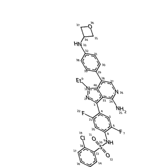 CCn1nc(-c2cc(F)c(NS(=O)(=O)c3ccccc3Cl)cc2F)c2c(N)ncc(-c3ccc(NC4COC4)cc3)c21